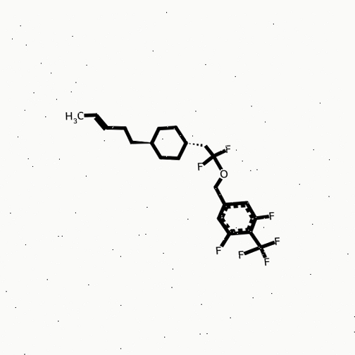 C/C=C/CC[C@H]1CC[C@H](CC(F)(F)OCc2cc(F)c(C(F)(F)F)c(F)c2)CC1